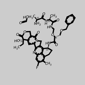 CC[C@@]1(O)C(=O)OCc2c1cc1n(c2=O)Cc2c-1nc1cc(F)c(C)c3c1c2[C@@H](NC(=O)[C@@H](COCc1ccccc1)OCNC(=O)[C@H](C)NC(=O)[C@H](C)N)CC3.O=CO